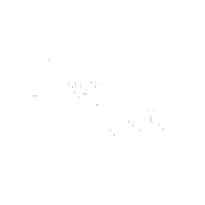 N/C(=N\NC(c1ccccc1)(c1ccccc1)c1ccccc1)c1ccc(N2CCCc3cc(C(=O)N4CCCC4)[nH]c32)cc1